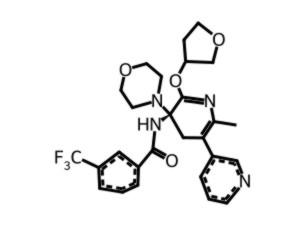 CC1=C(c2cccnc2)C[C@](NC(=O)c2cccc(C(F)(F)F)c2)(N2CCOCC2)C(OC2CCOC2)=N1